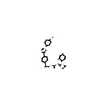 CC(C)c1cc(F)ccc1N1C(=O)CS/C1=N\C(=O)NCC(C#N)c1ccc(-c2ncn(-c3ccc(OC(F)(F)F)cc3)n2)cc1